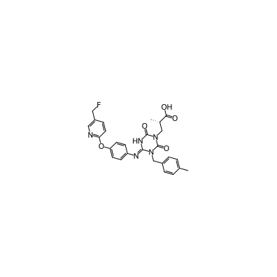 Cc1ccc(Cn2c(=O)n(C[C@H](C)C(=O)O)c(=O)[nH]/c2=N\c2ccc(Oc3ccc(CF)cn3)cc2)cc1